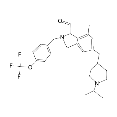 Cc1cc(CC2CCN(C(C)C)CC2)cc2c1C(C=O)N(Cc1ccc(OC(F)(F)F)cc1)C2